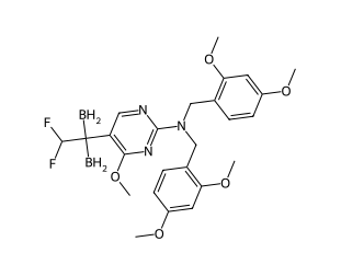 BC(B)(c1cnc(N(Cc2ccc(OC)cc2OC)Cc2ccc(OC)cc2OC)nc1OC)C(F)F